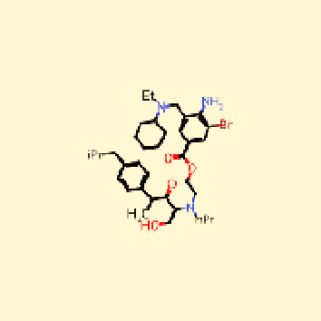 CCCN(CCOC(=O)c1cc(Br)c(N)c(CN(CC)C2CCCCC2)c1)C(CO)C(=O)C(C)c1ccc(CC(C)C)cc1